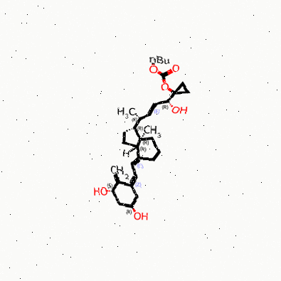 C=C1/C(=C\C=C2/CCC[C@]3(C)[C@@H]([C@H](C)/C=C/[C@@H](O)C4(OC(=O)OCCCC)CC4)CC[C@@H]23)C[C@@H](O)C[C@@H]1O